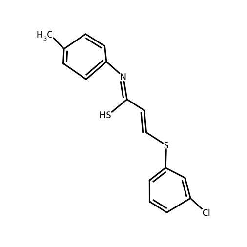 Cc1ccc(N=C(S)C=CSc2cccc(Cl)c2)cc1